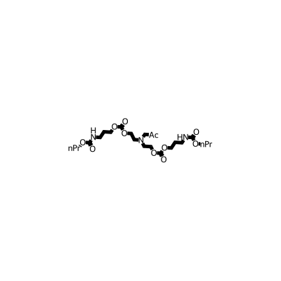 CCCOC(=O)NCCCOC(=O)OCCN(CCOC(=O)OCCCNC(=O)OCCC)CC(C)=O